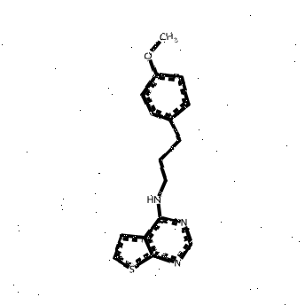 COc1ccc(CCCNc2ncnc3sccc23)cc1